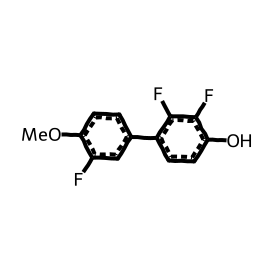 COc1ccc(-c2ccc(O)c(F)c2F)cc1F